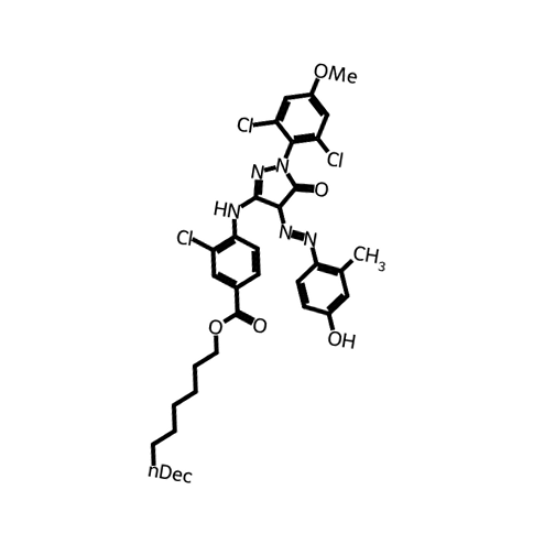 CCCCCCCCCCCCCCCCOC(=O)c1ccc(NC2=NN(c3c(Cl)cc(OC)cc3Cl)C(=O)C2N=Nc2ccc(O)cc2C)c(Cl)c1